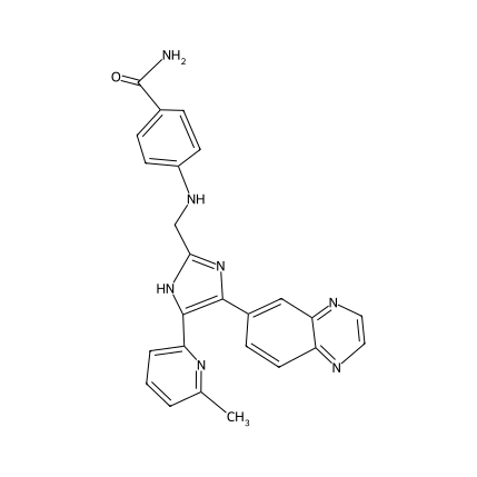 Cc1cccc(-c2[nH]c(CNc3ccc(C(N)=O)cc3)nc2-c2ccc3nccnc3c2)n1